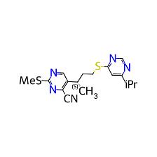 CSc1ncc([C@@H](C)CCSc2cc(C(C)C)ncn2)c(C#N)n1